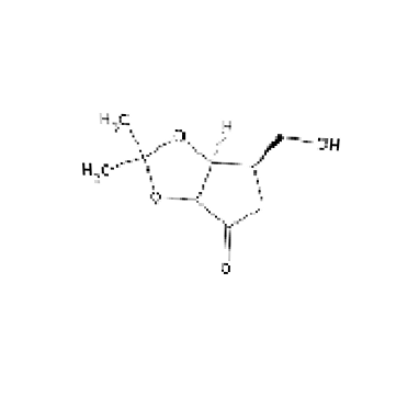 CC1(C)OC2C(=O)C[C@H](CO)[C@@H]2O1